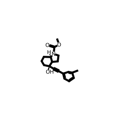 COC(=O)N1CCC2[C@H]1CCC[C@@]2(O)C#Cc1cccc(C)c1